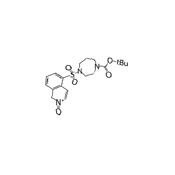 CC(C)(C)OC(=O)N1CCCN(S(=O)(=O)c2cccc3c2C=C[N+](=O)C3)CC1